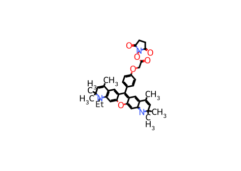 CCN1c2cc3c(cc2C(C)=CC1(C)C)C(c1ccc(OCC(=O)ON2C(=O)CCC2=O)cc1)=c1cc2c(cc1O3)=NC(C)(C)C=C2C